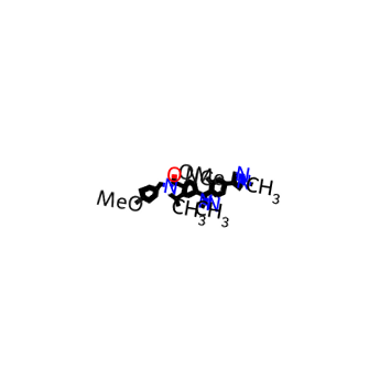 COc1ccc(CN2CC(C)c3cc(-c4c5c(C#N)cc(-c6cnn(C)c6)cc5nn4C)cc(OC)c3C2=O)cc1